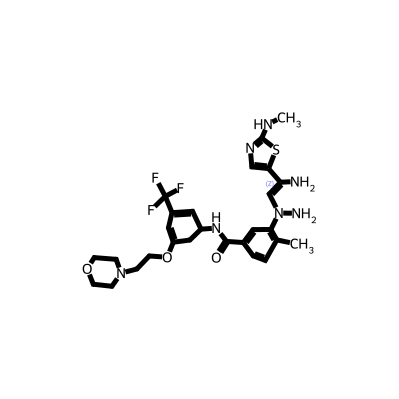 CNc1ncc(/C(N)=C/N(N)c2cc(C(=O)NC3C=C(C(F)(F)F)C=C(OCCN4CCOCC4)C3)ccc2C)s1